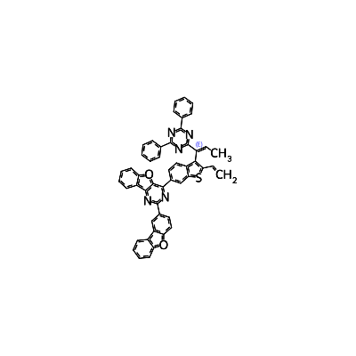 C=Cc1sc2cc(-c3nc(-c4ccc5oc6ccccc6c5c4)nc4c3oc3ccccc34)ccc2c1/C(=C\C)c1nc(-c2ccccc2)nc(-c2ccccc2)n1